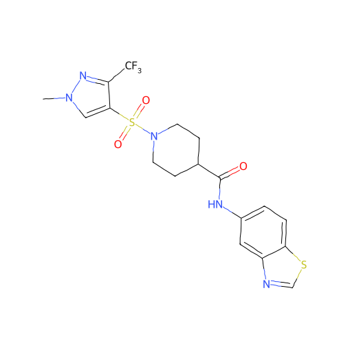 Cn1cc(S(=O)(=O)N2CCC(C(=O)Nc3ccc4scnc4c3)CC2)c(C(F)(F)F)n1